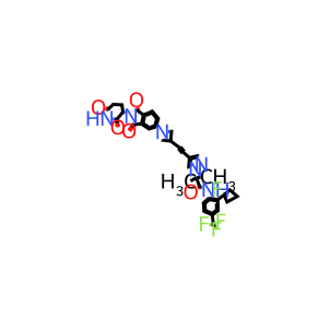 CC(C)(C(=O)Nc1ccc(C(F)(F)F)cc1C1(F)CCC1)n1cc(C#CC2CN(c3ccc4c(c3)C(=O)N(C3CCC(=O)NC3=O)C4=O)C2)cn1